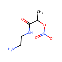 CC(O[N+](=O)[O-])C(=O)NCCN